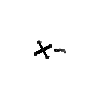 O=S(=O)([O-])[O-].[GeH2+2]